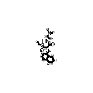 CCOC(=O)[C@H](Cc1cccc2ccccc12)C(=O)NCCN(C)C